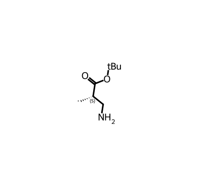 [CH2][C@@H](CN)C(=O)OC(C)(C)C